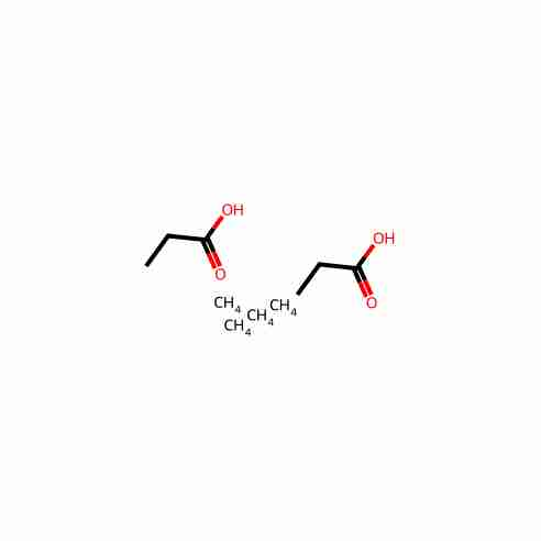 C.C.C.C.CCC(=O)O.CCC(=O)O